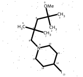 COC(C)(C)CC(C)(C)CN1CCC(I)CC1